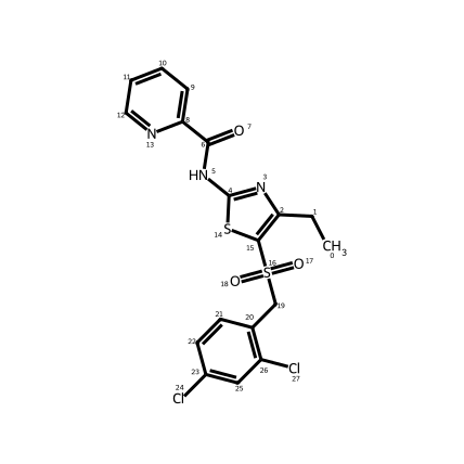 CCc1nc(NC(=O)c2ccccn2)sc1S(=O)(=O)Cc1ccc(Cl)cc1Cl